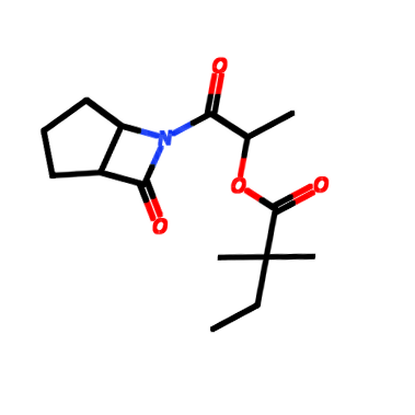 CCC(C)(C)C(=O)OC(C)C(=O)N1C(=O)C2CCCC21